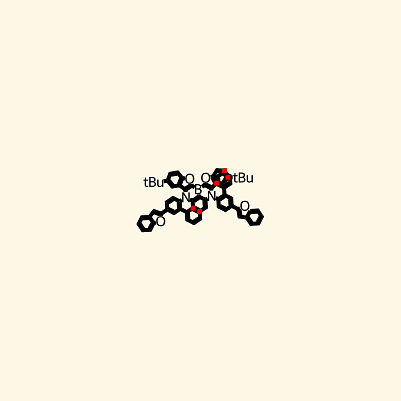 CC(C)(C)c1ccc2oc3c(c2c1)N(c1ccc(-c2cc4ccccc4o2)cc1-c1ccccc1)c1cccc2c1B3c1oc3ccc(C(C)(C)C)cc3c1N2c1ccc(-c2cc3ccccc3o2)cc1-c1ccccc1